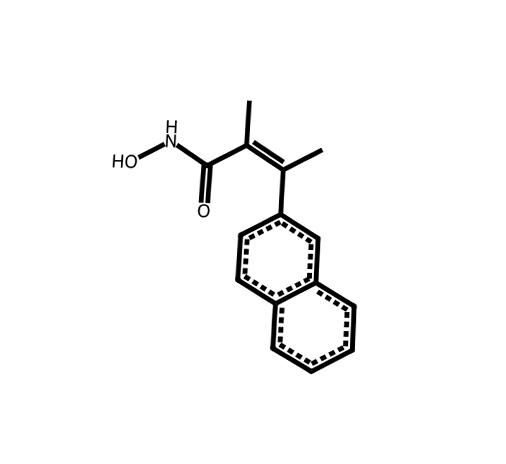 CC(C(=O)NO)=C(C)c1ccc2ccccc2c1